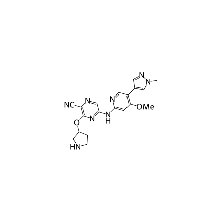 COc1cc(Nc2cnc(C#N)c(OC3CCNC3)n2)ncc1-c1cnn(C)c1